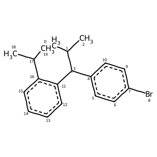 CC(C)[C](c1ccc(Br)cc1)c1ccccc1C(C)C